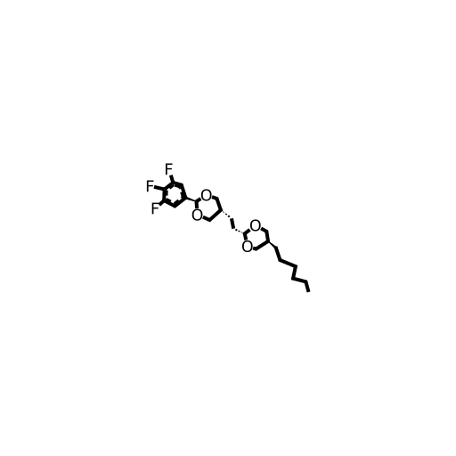 CCCCCC[C@H]1CO[C@H](CC[C@H]2CO[C@H](c3cc(F)c(F)c(F)c3)OC2)OC1